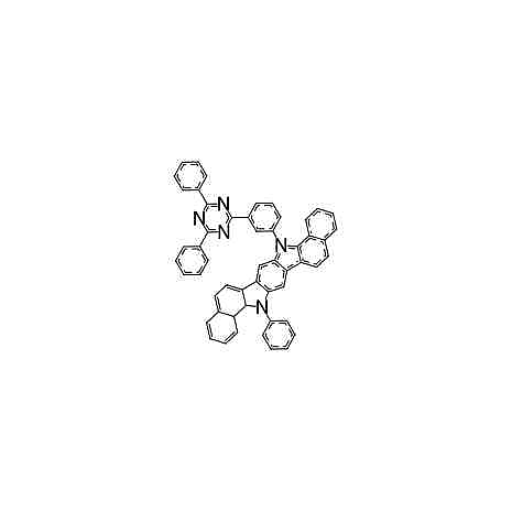 C1=CC2=CC=C3c4cc5c(cc4N(c4ccccc4)C3C2C=C1)c1ccc2ccccc2c1n5-c1cccc(-c2nc(-c3ccccc3)nc(-c3ccccc3)n2)c1